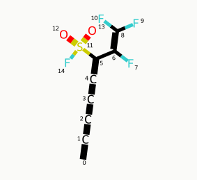 C=C=C=C=C=C(C(F)=C(F)F)S(=O)(=O)F